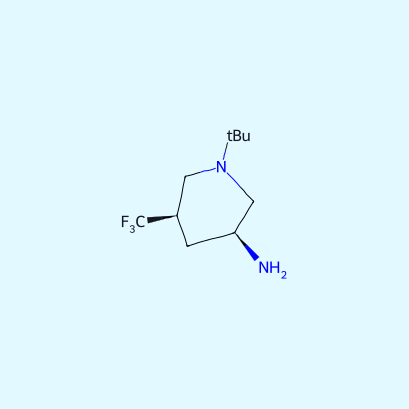 CC(C)(C)N1C[C@@H](N)C[C@@H](C(F)(F)F)C1